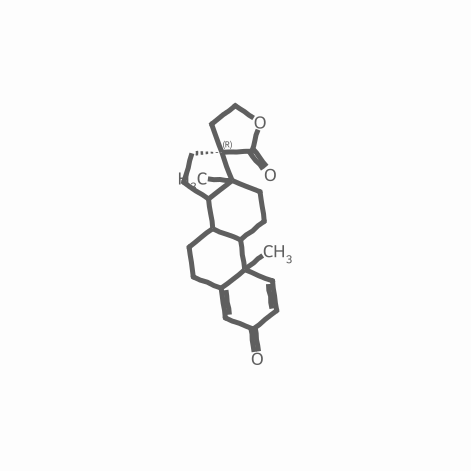 CC12C=CC(=O)C=C1CCC1C2CCC2(C)C1CC[C@@]21CCOC1=O